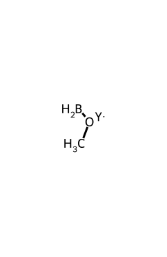 BOC.[Y]